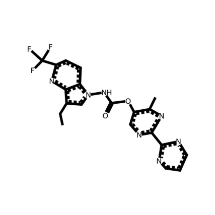 CCc1cn(NC(=O)Oc2cnc(-c3ncccn3)nc2C)c2ccc(C(F)(F)F)nc12